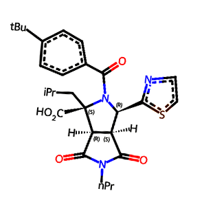 CCCN1C(=O)[C@H]2[C@@H](C1=O)[C@@](CC(C)C)(C(=O)O)N(C(=O)c1ccc(C(C)(C)C)cc1)[C@H]2c1nccs1